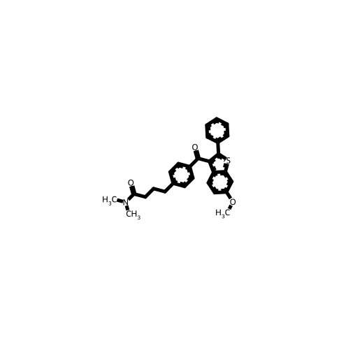 COc1ccc2c(C(=O)c3ccc(CCCC(=O)N(C)C)cc3)c(-c3ccccc3)sc2c1